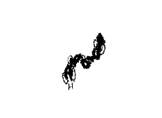 O=C1CCC(N2Cc3cc(O[C@@H]4CCCC[C@H]4N4CC(C5CCN(S(=O)(=O)C6CCC6)CC5)C4)ccc3C2=O)C(=O)N1